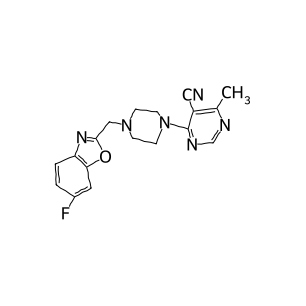 Cc1ncnc(N2CCN(Cc3nc4ccc(F)cc4o3)CC2)c1C#N